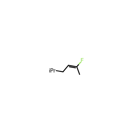 C/C(F)=C\CC(C)C